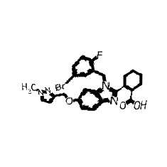 Cn1ccc(COc2ccc3nc([C@H]4CCCC[C@H]4C(=O)O)n(Cc4cc(Br)ccc4F)c3c2)n1